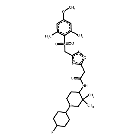 COc1cc(C)c(S(=O)(=O)Cc2noc(CC(=O)NC3CCN(C4CCC(F)CC4)CC3(C)C)n2)c(C)c1